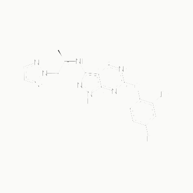 C[C@H](Cn1nccn1)Nc1n[nH]c2nc(Oc3ccc(F)cc3F)ncc12